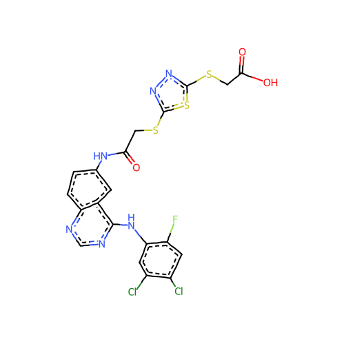 O=C(O)CSc1nnc(SCC(=O)Nc2ccc3ncnc(Nc4cc(Cl)c(Cl)cc4F)c3c2)s1